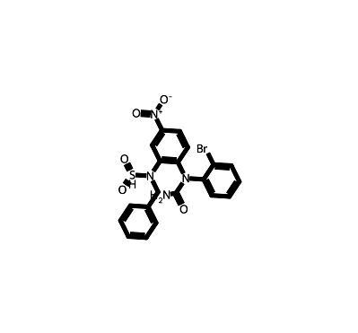 NC(=O)N(c1ccccc1Br)c1ccc([N+](=O)[O-])cc1N(Cc1ccccc1)[SH](=O)=O